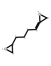 C(/CCCC1CO1)=C1\CO1